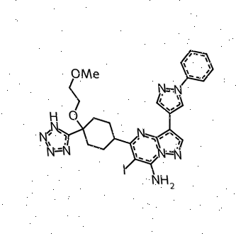 COCCOC1(c2nnn[nH]2)CCC(c2nc3c(-c4cnn(-c5ccccc5)c4)cnn3c(N)c2I)CC1